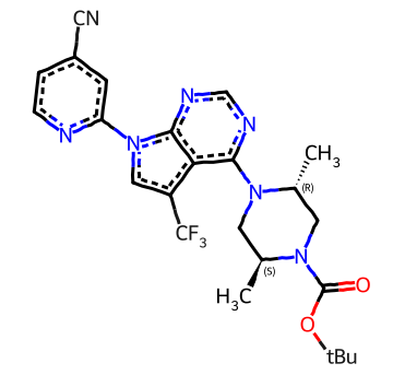 C[C@@H]1CN(C(=O)OC(C)(C)C)[C@@H](C)CN1c1ncnc2c1c(C(F)(F)F)cn2-c1cc(C#N)ccn1